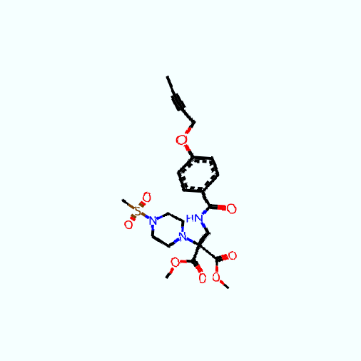 CC#CCOc1ccc(C(=O)NCC(C(=O)OC)(C(=O)OC)N2CCN(S(C)(=O)=O)CC2)cc1